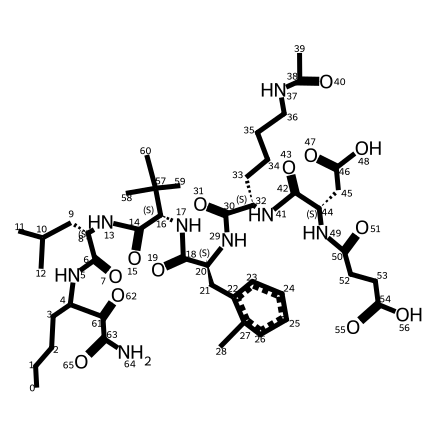 CCCCC(NC(=O)[C@H](CC(C)C)NC(=O)[C@@H](NC(=O)[C@H](Cc1ccccc1C)NC(=O)[C@H](CCCCNC(C)=O)NC(=O)[C@H](CC(=O)O)NC(=O)CCC(=O)O)C(C)(C)C)C(=O)C(N)=O